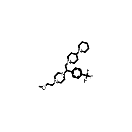 COCCN1CCN(C(CN2CCC(N3CCCCC3)CC2)c2ccc(C(F)(F)F)cc2)CC1